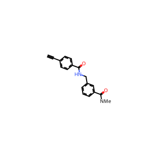 C#Cc1ccc(C(=O)NCc2cccc(C(=O)NC)c2)cc1